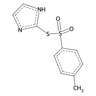 Cc1ccc(S(=O)(=O)Sc2ncc[nH]2)cc1